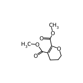 COC(=O)C1=C(C(=O)OC)OCCC1